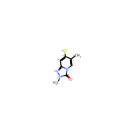 Cc1cn2c(=O)n(C)nc2cc1S